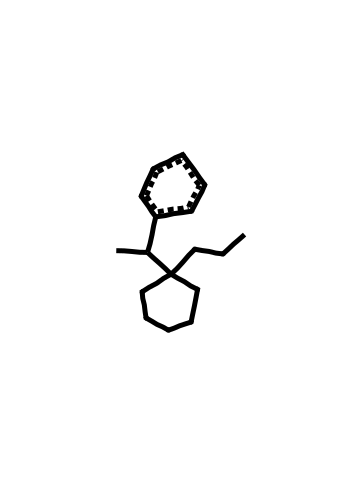 CCCC1(C(C)c2ccccc2)CCCCC1